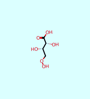 O=C(O)[C@H](O)[C@@H](O)COO